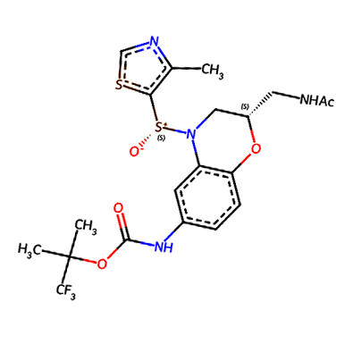 CC(=O)NC[C@H]1CN([S@+]([O-])c2scnc2C)c2cc(NC(=O)OC(C)(C)C(F)(F)F)ccc2O1